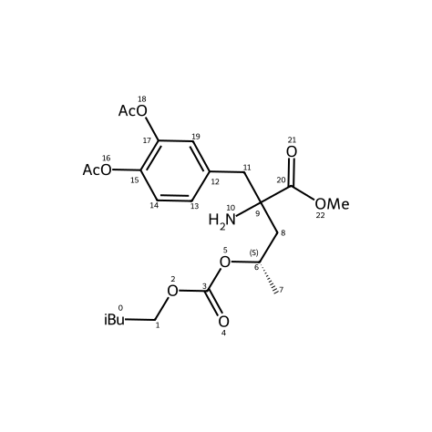 CCC(C)COC(=O)O[C@@H](C)CC(N)(Cc1ccc(OC(C)=O)c(OC(C)=O)c1)C(=O)OC